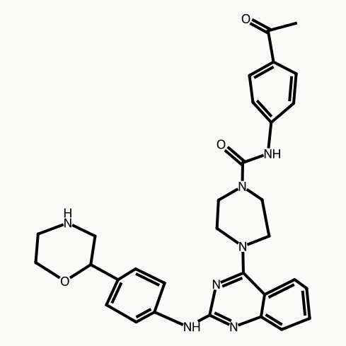 CC(=O)c1ccc(NC(=O)N2CCN(c3nc(Nc4ccc(C5CNCCO5)cc4)nc4ccccc34)CC2)cc1